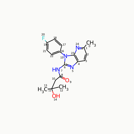 Cc1ccc2nc(NC(=O)CC(C)(C)O)n(-c3ccc(F)cc3)c2n1